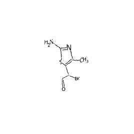 Cc1nc(N)sc1C(Br)C=O